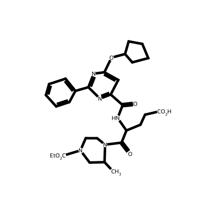 CCOC(=O)N1CCN(C(=O)C(CCC(=O)O)NC(=O)c2cc(OC3CCCC3)nc(-c3ccccc3)n2)C(C)C1